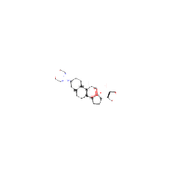 C[C@]12CC[C@H](N3CCOCC3)C[C@H]1CC[C@@H]1[C@@H]2C[C@@H](O)[C@]2(C)[C@@H](C3=CC(=O)OC3)CC[C@]12O